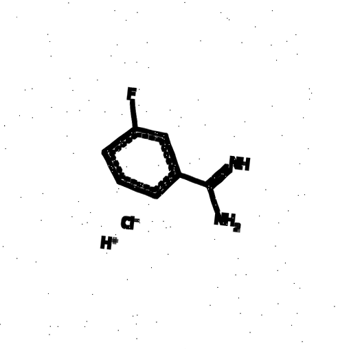 N=C(N)c1cccc(F)c1.[Cl-].[H+]